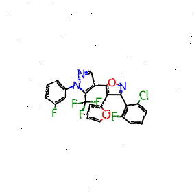 Fc1cccc(-n2ncc(-c3onc(-c4c(F)cccc4Cl)c3-c3ccco3)c2C(F)(F)F)c1